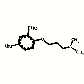 CN(C)CCCOc1ccc(C(C)(C)C)cc1C=O